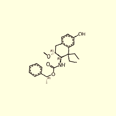 CCC1(CC)c2cc(O)ccc2C[C@@H](OC)[C@@H]1NC(=O)O[C@H](C)c1ccccc1